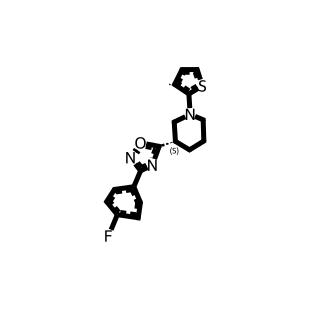 Fc1ccc(-c2noc([C@H]3CCCN(c4[c]ccs4)C3)n2)cc1